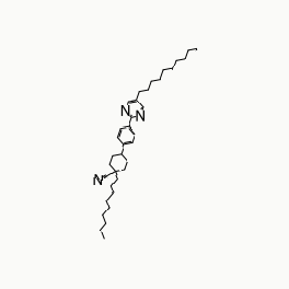 CCCCCCCCCCc1cnc(-c2ccc(C3CCC(C#N)(CCCCCCCCC)CC3)cc2)nc1